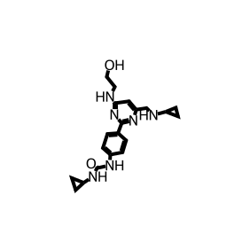 O=C(Nc1ccc(-c2nc(CNC3CC3)cc(NCCO)n2)cc1)NC1CC1